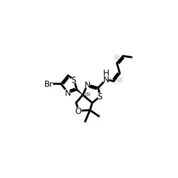 C/C=C\C=C/NC1=N[C@@]2(c3nc(Br)cs3)COC(C)(C)C2S1